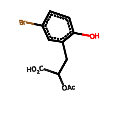 CC(=O)OC(Cc1cc(Br)ccc1O)C(=O)O